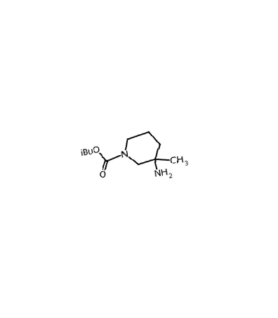 CC(C)COC(=O)N1CCCC(C)(N)C1